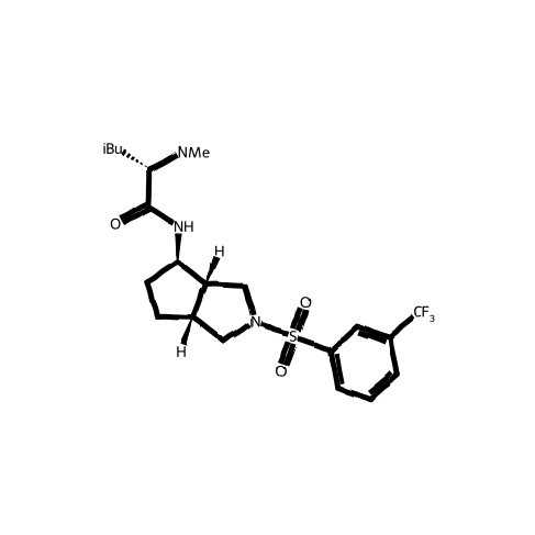 CCC(C)[C@H](NC)C(=O)N[C@@H]1CC[C@H]2CN(S(=O)(=O)c3cccc(C(F)(F)F)c3)C[C@H]21